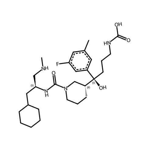 CNC[C@H](CC1CCCCC1)NC(=O)N1CCC[C@@H]([C@@](O)(CCCNC(=O)O)c2cc(C)cc(F)c2)C1